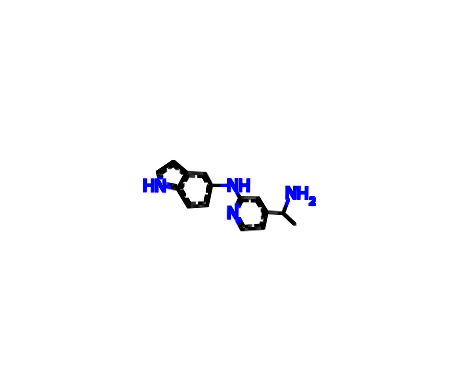 CC(N)c1ccnc(Nc2ccc3[nH]ccc3c2)c1